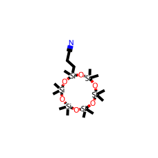 C[Si]1(C)O[Si](C)(C)O[Si](C)(C)O[Si](C)(CCC#N)O[Si](C)(C)O[Si](C)(C)O1